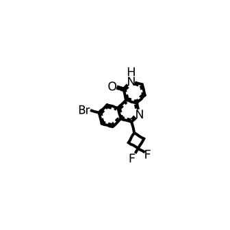 O=c1[nH]ccc2nc(C3CC(F)(F)C3)c3ccc(Br)cc3c12